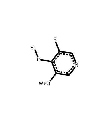 CCOc1c(F)cncc1OC